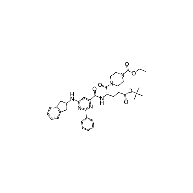 CCOC(=O)N1CCN(C(=O)C(CCC(=O)OC(C)(C)C)NC(=O)c2cc(NC3Cc4ccccc4C3)nc(-c3ccccc3)n2)CC1